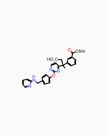 COC(=O)c1cccc(C(C)(CC(=O)O)c2ccnc(Oc3ccc(CNc4ccccn4)cc3)n2)c1